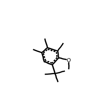 COc1c(C(C)(C)C)cc(C)c(C)c1C